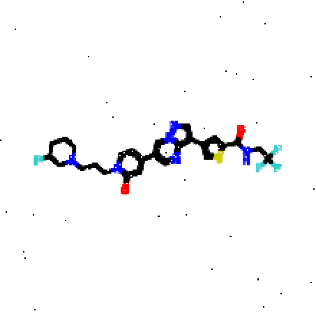 O=C(NCC(F)(F)F)c1cc(-c2cnn3cc(-c4ccn(CCCN5CCCC(F)C5)c(=O)c4)cnc23)cs1